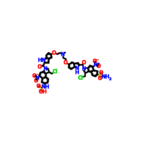 CN(CCOc1ccc2[nH]c(C(=O)N3CC(CCl)c4c3cc([N+](=O)[O-])c3cc(NS(=O)O)ccc43)cc2c1)CCOc1ccc2[nH]c(C(=O)N3CC(CCl)c4c3cc([N+](=O)[O-])c3cc(S(N)(=O)=O)ccc43)cc2c1